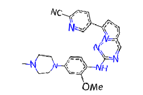 COc1cc(N2CCN(C)CC2)ccc1Nc1ncc2ccc(-c3ccc(C#N)nc3)n2n1